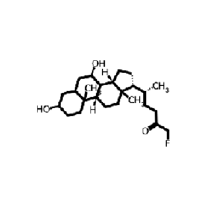 C[C@H](CCC(=O)CF)[C@H]1CC[C@H]2C3[C@H](O)CC4C[C@H](O)CCC4(C)[C@H]3CCC12C